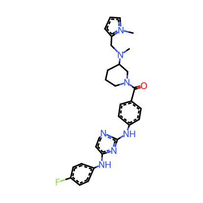 CN(Cc1cccn1C)C1CCCN(C(=O)c2ccc(Nc3nccc(Nc4ccc(F)cc4)n3)cc2)C1